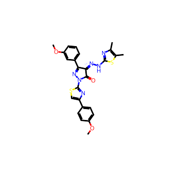 COc1ccc(-c2csc(N3N=C(c4cccc(OC)c4)/C(=N/Nc4nc(C)c(C)s4)C3=O)n2)cc1